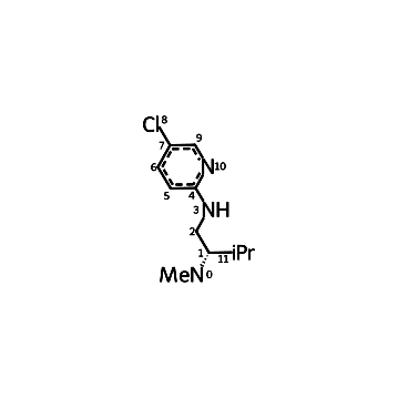 CN[C@H](CNc1ccc(Cl)cn1)C(C)C